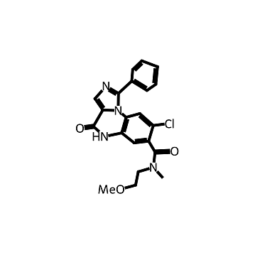 COCCN(C)C(=O)c1cc2[nH]c(=O)c3cnc(-c4ccccc4)n3c2cc1Cl